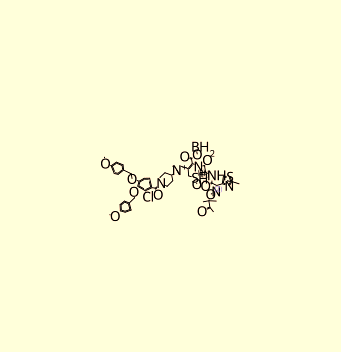 BOC(=O)C1=C(C[N+](C)(C)C2CCN(C(=O)c3ccc(OCc4ccc(OC)cc4)c(OCc4ccc(OC)cc4)c3Cl)CC2)C[S+]([O-])[C@@H]2[C@H](NC(=O)/C(=N\OC(C)(C)C(C)=O)c3csc(C)n3)C(=O)N12